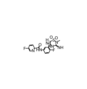 CN1C(=N)N[C@](N)(c2cc(NC(=O)c3ccc(F)cn3)ccc2F)CS1(=O)=O